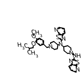 COc1ccc(CN2CCC(N(c3nc4cccnc4s3)C3CCN(Nc4nc5cccnc5s4)CC3)CC2)cc1OCC(C)C